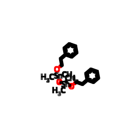 [CH3][Sn]([CH3])([O]CCc1ccccc1)[O][Sn]([CH3])([CH3])[O]CCc1ccccc1